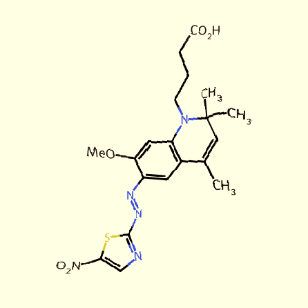 COc1cc2c(cc1N=Nc1ncc([N+](=O)[O-])s1)C(C)=CC(C)(C)N2CCCC(=O)O